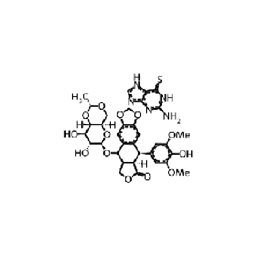 COc1cc([C@@H]2c3cc4c(cc3C(O[C@@H]3O[C@@H]5CO[C@@H](C)O[C@H]5[C@H](O)[C@H]3O)C3COC(=O)[C@@H]32)OCO4)cc(OC)c1O.Nc1nc2nc[nH]c2c(=S)[nH]1